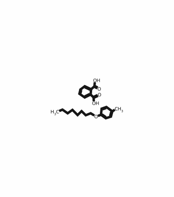 CCCCCCCCOc1ccc(C)cc1.O=C(O)c1ccccc1C(=O)O